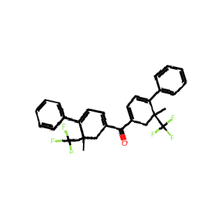 CC1(C(F)(F)F)CC(C(=O)C2=CC=C(c3ccccc3)C(C)(C(F)(F)F)C2)=CC=C1c1ccccc1